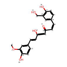 COc1cc(/C=C/C(O)=C/C(=O)/C=C\c2ccc(O)c(CO)c2)ccc1O